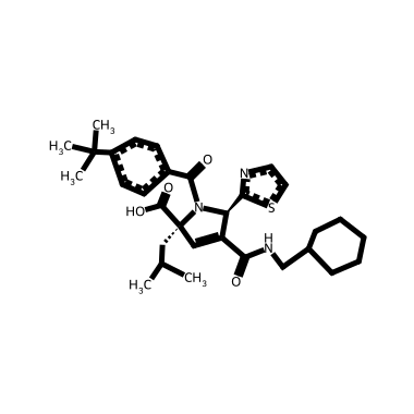 CC(C)C[C@@]1(C(=O)O)C=C(C(=O)NCC2CCCCC2)[C@H](c2nccs2)N1C(=O)c1ccc(C(C)(C)C)cc1